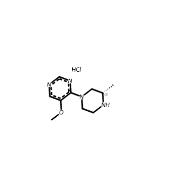 COc1cncnc1N1CCN[C@@H](C)C1.Cl